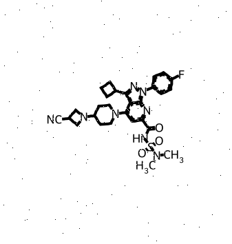 CN(C)S(=O)(=O)NC(=O)c1cc(N2CCC(N3CC(C#N)C3)CC2)c2c(C3CCC3)nn(-c3ccc(F)cc3)c2n1